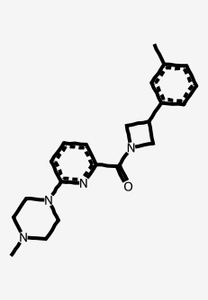 Cc1cccc(C2CN(C(=O)c3cccc(N4CCN(C)CC4)n3)C2)c1